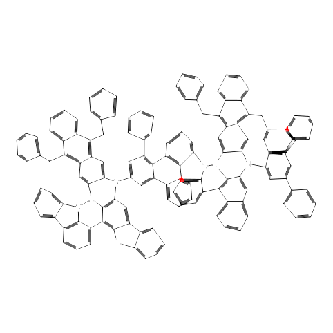 c1ccc(Cc2c3ccccc3c(Cc3ccccc3)c3cc4c(cc23)B2c3c(cc5ccccc5c3-c3cccc5c6c(-c7c(-c8ccccc8)cc(N8c9cc%10c(Cc%11ccccc%11)c%11ccccc%11c(Cc%11ccccc%11)c%10cc9B9c%10c8cc8c(oc%11ccccc%118)c%10-c8cccc%10c%11ccccc%11n9c8%10)cc7-c7ccccc7)cccc6n2c35)N4c2cc(-c3ccccc3)cc(-c3ccccc3)c2)cc1